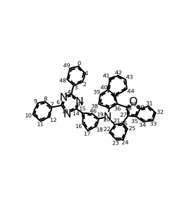 c1ccc(-c2nc(-c3ccccc3)nc(-c3cccc(N4c5ccccc5-c5c(oc6ccccc56)-c5c4ccc4ccccc54)c3)n2)cc1